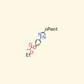 CCCCCc1cnc(-c2ccc(OC(=O)C(C)OCC)cc2)nc1